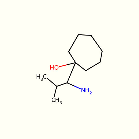 CC(C)C(N)C1(O)CCCCCC1